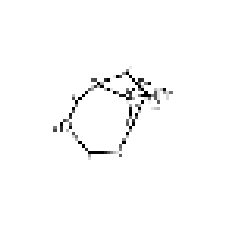 CC(C)C1(C(C)C)C2CCOCC1CC2